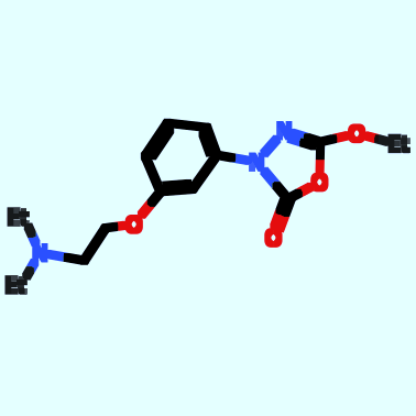 CCOc1nn(-c2cccc(OCCN(CC)CC)c2)c(=O)o1